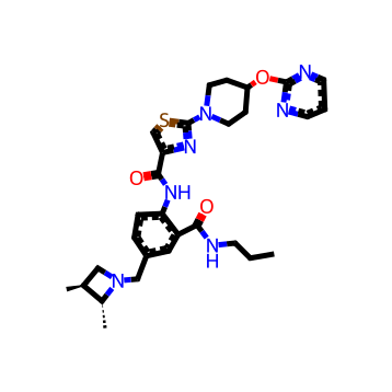 CCCNC(=O)c1cc(CN2C[C@H](C)[C@H]2C)ccc1NC(=O)c1csc(N2CCC(Oc3ncccn3)CC2)n1